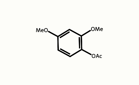 [CH2]C(=O)Oc1ccc(OC)cc1OC